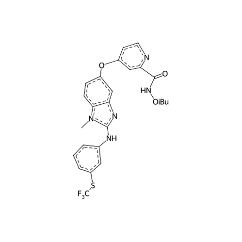 CC(C)CONC(=O)c1cc(Oc2ccc3c(c2)nc(Nc2cccc(SC(F)(F)F)c2)n3C)ccn1